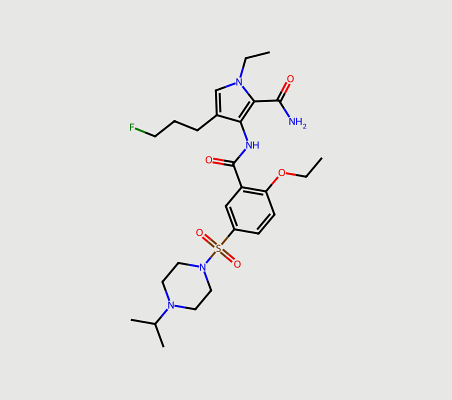 CCOc1ccc(S(=O)(=O)N2CCN(C(C)C)CC2)cc1C(=O)Nc1c(CCCF)cn(CC)c1C(N)=O